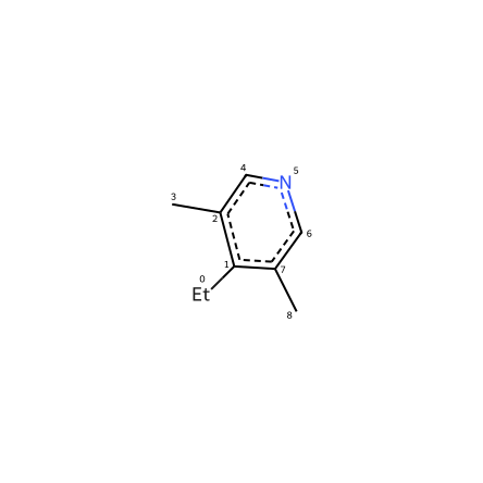 [CH2]Cc1c(C)cncc1C